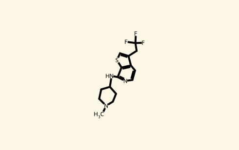 CN1CCC(Nc2nccc3c(CC(F)(F)F)csc23)CC1